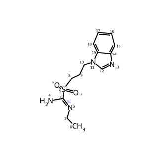 CC/N=C(\N)S(=O)(=O)CCCn1cnc2ccccc21